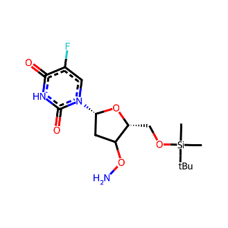 CC(C)(C)[Si](C)(C)OC[C@H]1O[C@@H](n2cc(F)c(=O)[nH]c2=O)CC1ON